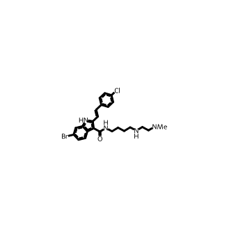 CNCCNCCCCNC(=O)c1c(/C=C/c2ccc(Cl)cc2)[nH]c2cc(Br)ccc12